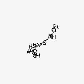 CCc1ccc(CCNCCCSCCNC[C@H](O)c2ccc(O)c3[nH]c(=O)sc23)cc1